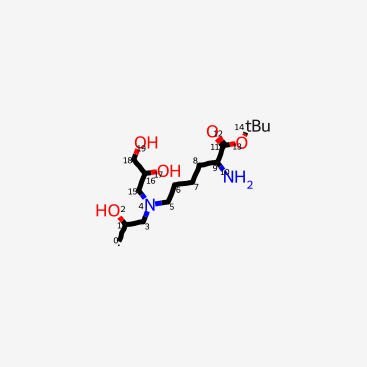 [CH2]C(O)CN(CCCCC(N)C(=O)OC(C)(C)C)CC(O)CO